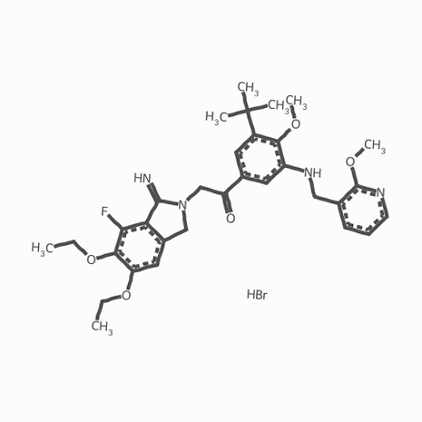 Br.CCOc1cc2c(c(F)c1OCC)C(=N)N(CC(=O)c1cc(NCc3cccnc3OC)c(OC)c(C(C)(C)C)c1)C2